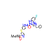 CNC(=O)c1cc(Sc2ccc(NC(=O)Nc3cc(Cc4ccccc4)nn3-c3cccc(F)c3)cc2)ccn1